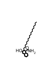 CCCCCCCCCCCCCCCCCCc1c(O)cc2ccccc2c1C(N)=O